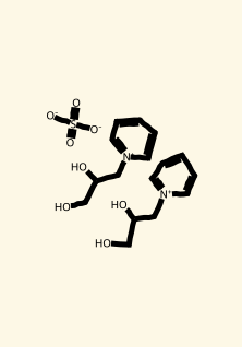 O=S(=O)([O-])[O-].OCC(O)C[n+]1ccccc1.OCC(O)C[n+]1ccccc1